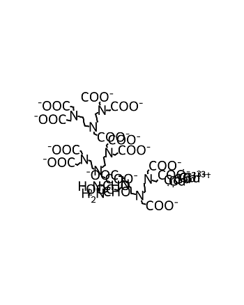 NC=O.NC=O.O=C([O-])CN(CCN(CC(=O)[O-])CC(=O)[O-])CCN(CC(=O)[O-])CC(=O)[O-].O=C([O-])CN(CCN(CC(=O)[O-])CC(=O)[O-])CCN(CC(=O)[O-])CC(=O)[O-].O=C([O-])CN(CCN(CC(=O)[O-])CC(=O)[O-])CCN(CC(=O)[O-])CC(=O)[O-].[Gd+3].[Gd+3].[Gd+3].[Gd+3].[Gd+3]